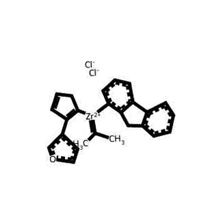 C[C](C)=[Zr+2]([C]1=C(c2ccoc2)C=CC1)[c]1cccc2c1Cc1ccccc1-2.[Cl-].[Cl-]